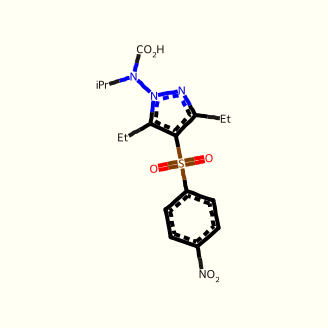 CCc1nn(N(C(=O)O)C(C)C)c(CC)c1S(=O)(=O)c1ccc([N+](=O)[O-])cc1